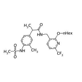 CCCCCCOc1nc(C(F)(F)F)ccc1CNC(=O)C(C)c1ccc(NS(C)(=O)=O)c(C)c1